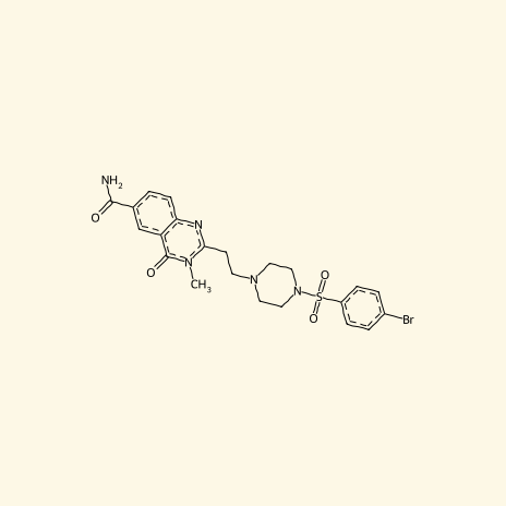 Cn1c(CCN2CCN(S(=O)(=O)c3ccc(Br)cc3)CC2)nc2ccc(C(N)=O)cc2c1=O